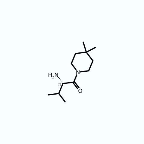 CC(C)[C@H](N)C(=O)N1CCC(C)(C)CC1